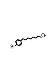 [O]CCCCCCCCc1ccc(Br)cc1